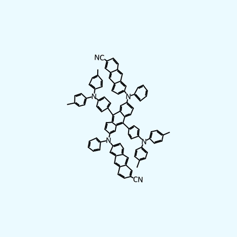 Cc1ccc(N(c2ccc(C)cc2)c2ccc(-c3c4ccc(N(c5ccccc5)c5ccc6cc7cc(C#N)ccc7cc6c5)cc4c(-c4ccc(N(c5ccc(C)cc5)c5ccc(C)cc5)cc4)c4ccc(N(c5ccccc5)c5ccc6cc7cc(C#N)ccc7cc6c5)cc34)cc2)cc1